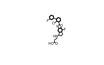 O=C(O)CCN[C@@H]1CCc2c1cc1nc(-c3cccc(-c4cccc(F)c4)c3Cl)oc1c2F